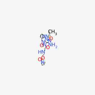 CCCS(=N)(=O)c1nc(N)c2c(n1)n(Cc1ccccc1)c(=O)n2C(=O)CCNCCOC(=O)N1CCCC1